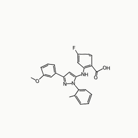 COc1cccc(-c2cc(Nc3cc(F)ccc3C(=O)O)n(-c3ccccc3C)n2)c1